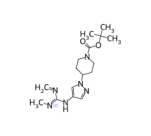 C=N/C(=N\C)Nc1cnn(C2CCN(C(=O)OC(C)(C)C)CC2)c1